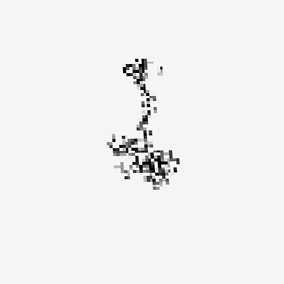 CC1=CC(OC2CCCCO2)=C(CCCCC#CCCCC#CCOC(N)=O)C(C)C1(C)OC1CCCCO1